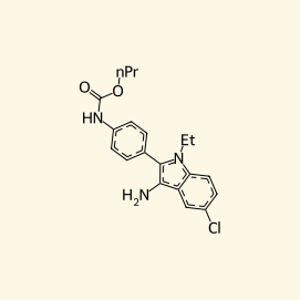 CCCOC(=O)Nc1ccc(-c2c(N)c3cc(Cl)ccc3n2CC)cc1